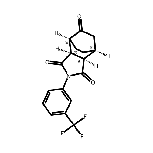 O=C1C[C@@H]2CC[C@H]1[C@@H]1C(=O)N(c3cccc(C(F)(F)F)c3)C(=O)[C@H]21